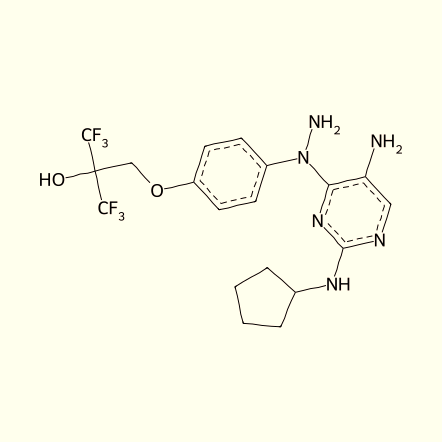 Nc1cnc(NC2CCCC2)nc1N(N)c1ccc(OCC(O)(C(F)(F)F)C(F)(F)F)cc1